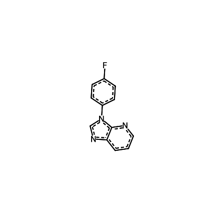 Fc1ccc(-n2cnc3cccnc32)cc1